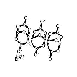 [Er+3].[Er+3].[O-]B1OB2OB([O-])OB(O1)O2.[O-]B1OB2OB([O-])OB(O1)O2.[O-]B1OB2OB([O-])OB(O1)O2